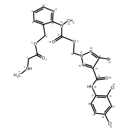 CNCC(=O)OCc1cccnc1N(C)C(=O)OCn1nc(Br)c(C(=O)Nc2ccc(Cl)cc2Cl)n1